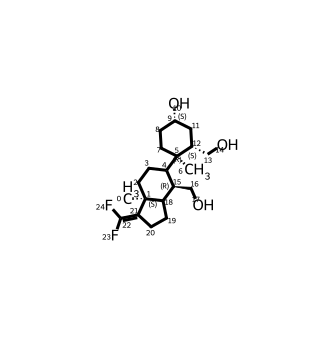 C[C@]12CCC([C@@]3(C)CC[C@H](O)C[C@@H]3CO)[C@@H](CO)C1CCC2=C(F)F